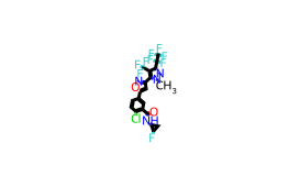 Cn1nc(C(F)(F)C(F)(F)F)c(C(F)(F)F)c1-c1cc(-c2ccc(Cl)c(C(=O)NC3CC3F)c2)on1